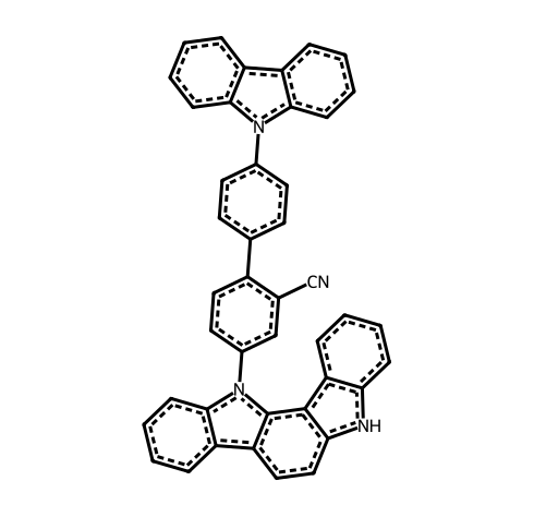 N#Cc1cc(-n2c3ccccc3c3ccc4[nH]c5ccccc5c4c32)ccc1-c1ccc(-n2c3ccccc3c3ccccc32)cc1